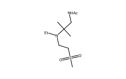 CCN(CCS(C)(=O)=O)C(C)(C)CNC(C)=O